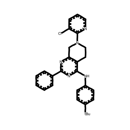 CC(C)(C)c1ccc(Nc2nc(-c3ccccc3)nc3c2CCN(c2ncccc2Cl)C3)cc1